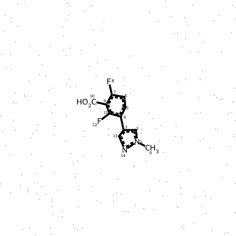 Cn1cc(-c2ccc(F)c(C(=O)O)c2F)cn1